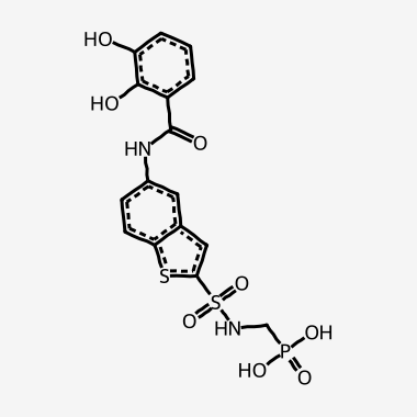 O=C(Nc1ccc2sc(S(=O)(=O)NCP(=O)(O)O)cc2c1)c1cccc(O)c1O